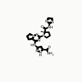 C[C@@]1(C(=O)Nc2nccs2)CCCN1c1nc(Nc2cc(C(N)=O)[nH]n2)c2cccn2n1